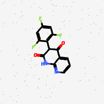 O=C1Nc2ncccc2C(=O)C1c1c(F)cc(F)cc1F